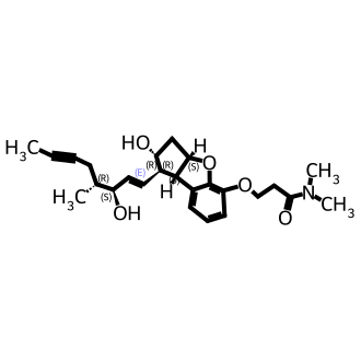 CC#CC[C@@H](C)[C@H](O)/C=C/[C@@H]1[C@H]2c3cccc(OCCC(=O)N(C)C)c3O[C@H]2C[C@H]1O